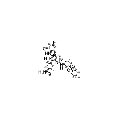 Cc1ccc(S(=O)(=O)N2CCC[C@@H](Nc3ncc(/N=C(\N)Nc4c(F)cc(F)cc4Cl)c(C[C@H]4CC[C@@H](C(N)=O)CC4)n3)C2)cc1